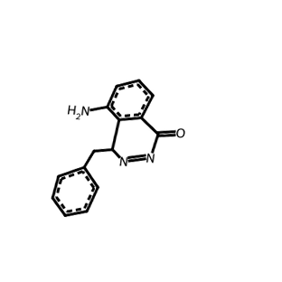 Nc1cccc2c1C(Cc1ccccc1)N=NC2=O